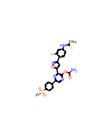 CNC(=S)Nc1ccc(-c2cc(-c3nc(-c4ccc(S(=O)(=O)C(C)C)cc4)cnc3OC(N)=O)on2)c(F)c1